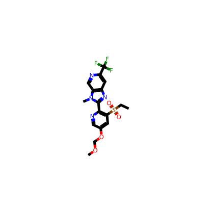 CCS(=O)(=O)c1cc(OCOC)cnc1-c1nc2cc(C(F)(F)F)ncc2n1C